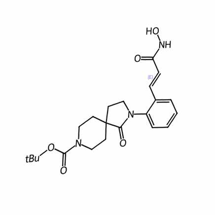 CC(C)(C)OC(=O)N1CCC2(CC1)CCN(c1ccccc1/C=C/C(=O)NO)C2=O